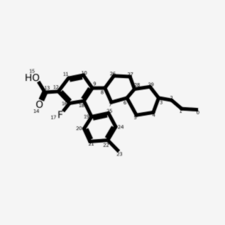 CCCC1CCC2CC(c3ccc(C(=O)O)c(F)c3-c3ccc(C)cc3)CCC2C1